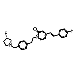 O=c1cc(/C=C/c2ccc(F)cc2)ccn1CCc1ccc(CN2CC[C@H](F)C2)cc1